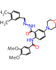 COc1ccc(C(=O)Nc2ccc(N3CCOCC3)cc2C(=O)N/N=C/c2ccc(C)c(C)c2)cc1OC